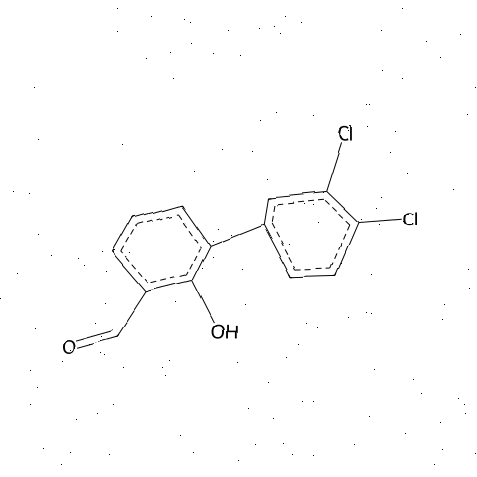 O=Cc1cccc(-c2ccc(Cl)c(Cl)c2)c1O